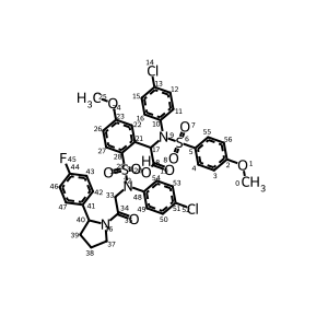 COc1ccc(S(=O)(=O)N(c2ccc(Cl)cc2)C(C(=O)O)c2cc(OC)ccc2S(=O)(=O)N(CC(=O)N2CCCC2c2ccc(F)cc2)c2ccc(Cl)cc2)cc1